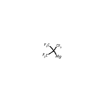 FC(F)(F)[C]([Mg])(C(F)(F)F)C(F)(F)F